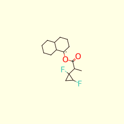 CC(C(=O)O[C]1CCCC2CCCCC12)C1(F)CC1F